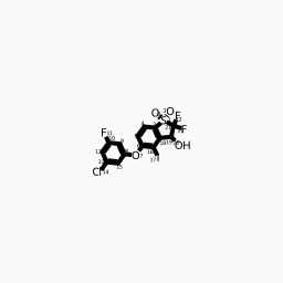 O=S1(=O)c2ccc(Oc3cc(F)cc(Cl)c3)c(I)c2C(O)C1(F)F